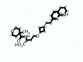 CC1(C(=O)N[C@@H](CCO[C@H]2C[C@H](CCc3ccc4c(n3)NCCC4)C2)C(=O)O)CCOCC1